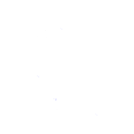 O=C(NCC1CC(=O)N(c2ccc(C3(CN4CCCC4)CC3)cc2)C1)c1ccc2nc(Cl)ccc2c1